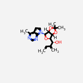 C=CC(=C)[C@@H](O)[C@H]1O[C@@H](n2ccc3c(C)ncnc32)[C@@H]2OC(C)(C)O[C@@H]21